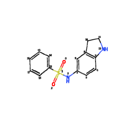 O=S(=O)(Nc1ccc2c(c1)CCN2)c1ccccc1